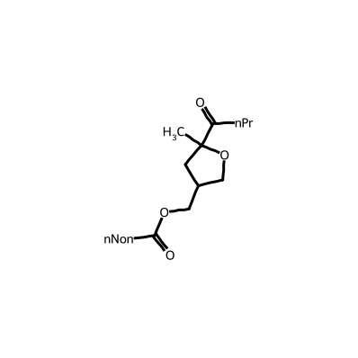 CCCCCCCCCC(=O)OCC1COC(C)(C(=O)CCC)C1